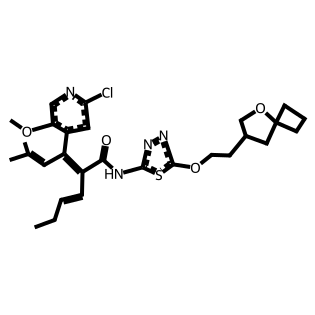 CC/C=C/C(C(=O)Nc1nnc(OCCC2COC3(CCC3)C2)s1)=C(\C=C(C)C)c1cc(Cl)ncc1OC